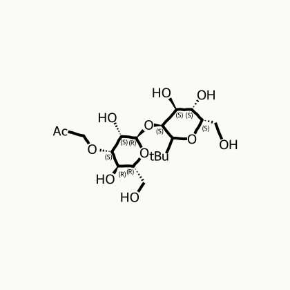 CC(=O)CO[C@@H]1[C@H](O)[C@@H](O[C@@H]2C(C(C)(C)C)O[C@@H](CO)[C@@H](O)[C@@H]2O)O[C@H](CO)[C@H]1O